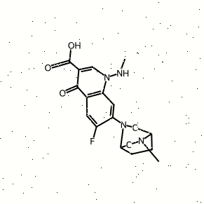 CNn1cc(C(=O)O)c(=O)c2cc(F)c(N3CC4CCC3CN4C)cc21